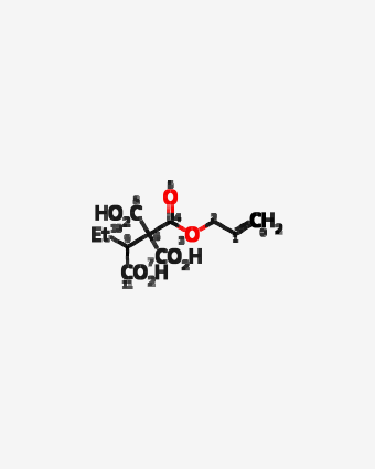 C=CCOC(=O)C(C(=O)O)(C(=O)O)C(CC)C(=O)O